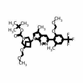 COCOc1cc(C(F)(F)F)cc(C)c1-c1cc2c(C)cn(C34CN(C(=O)OC(C)(C)C)CC(OCOC)(C3)C4)c2nn1